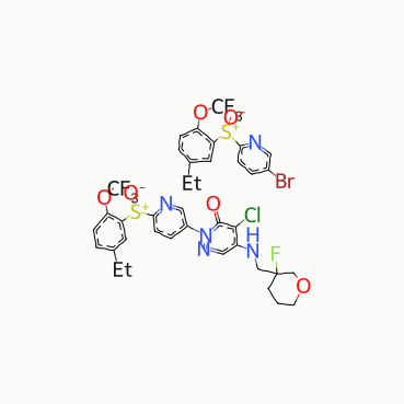 CCc1ccc(OC(F)(F)F)c([S+]([O-])c2ccc(-n3ncc(NCC4(F)CCCOC4)c(Cl)c3=O)cn2)c1.CCc1ccc(OC(F)(F)F)c([S+]([O-])c2ccc(Br)cn2)c1